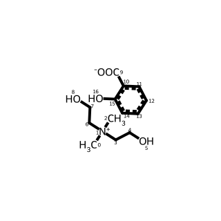 C[N+](C)(CCO)CCO.O=C([O-])c1ccccc1O